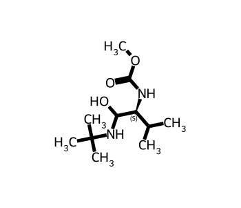 COC(=O)N[C@@H](C(C)C)C(O)NC(C)(C)C